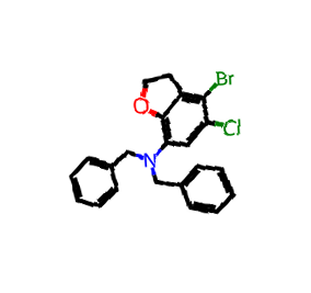 Clc1cc(N(Cc2ccccc2)Cc2ccccc2)c2c(c1Br)CCO2